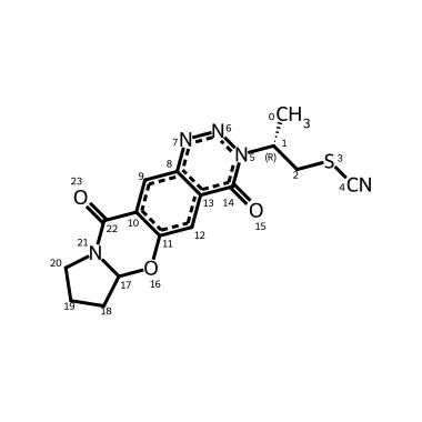 C[C@H](CSC#N)n1nnc2cc3c(cc2c1=O)OC1CCCN1C3=O